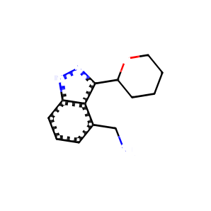 NCc1cccc2[nH]nc(C3CCCCO3)c12